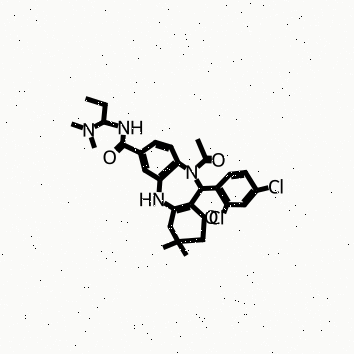 CCC(NC(=O)c1ccc2c(c1)NC1=C(C(=O)CC(C)(C)C1)C(c1ccc(Cl)cc1Cl)N2C(C)=O)N(C)C